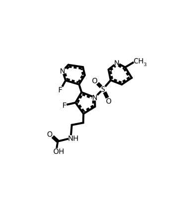 Cc1ccc(S(=O)(=O)n2cc(CCNC(=O)O)c(F)c2-c2cccnc2F)cn1